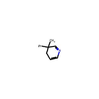 CC(C)C1(C)C=NC=CC1